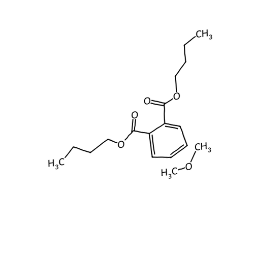 CCCCOC(=O)c1ccccc1C(=O)OCCCC.COC